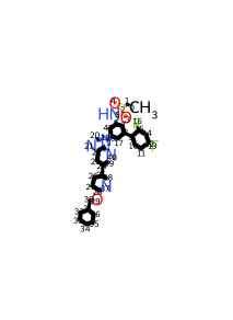 CCS(=O)(=O)Nc1cc(-c2ccc(F)cc2F)cc(-n2cnc3cc(-c4ccc(OCc5ccccc5)nc4)cnc32)c1